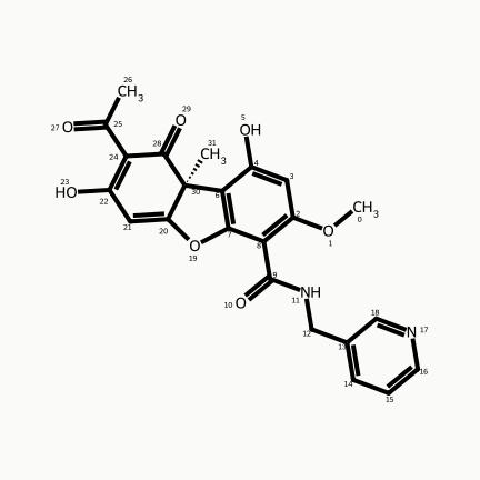 COc1cc(O)c2c(c1C(=O)NCc1cccnc1)OC1=CC(O)=C(C(C)=O)C(=O)[C@]12C